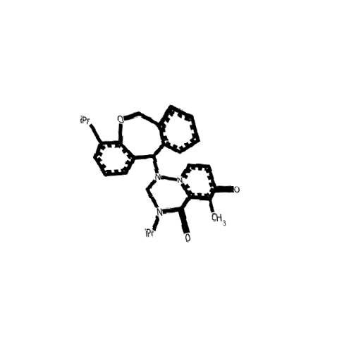 Cc1c2n(ccc1=O)N(C1c3ccccc3COc3c(C(C)C)cccc31)CN(C(C)C)C2=O